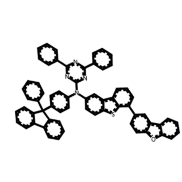 c1ccc(-c2nc(-c3ccccc3)nc(N(c3ccc(C4(c5ccccc5)c5ccccc5-c5ccccc54)cc3)c3ccc4sc5c(-c6ccc7oc8ccccc8c7c6)cccc5c4c3)n2)cc1